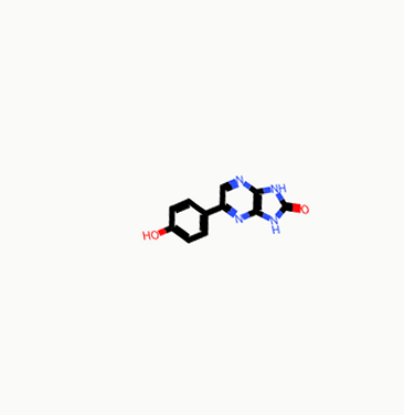 O=c1[nH]c2ncc(-c3ccc(O)cc3)nc2[nH]1